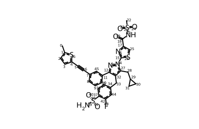 Cc1ccc(C#Cc2cccc(-c3nn(-c4nc(C(=O)NS(C)(=O)=O)cs4)c(CC4CC4)c3Cc3ccc(S(N)(=O)=O)c(F)c3)c2)s1